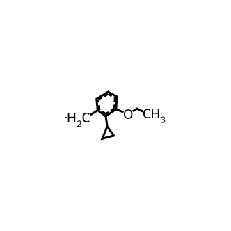 [CH2]c1cccc(OCC)c1C1CC1